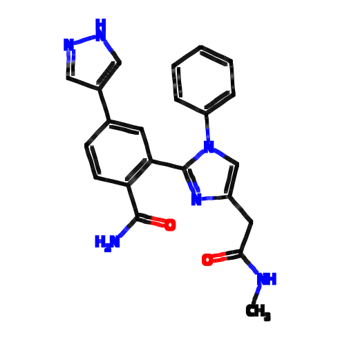 CNC(=O)Cc1cn(-c2ccccc2)c(-c2cc(-c3cn[nH]c3)ccc2C(N)=O)n1